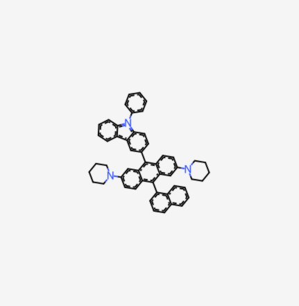 c1ccc(-n2c3ccccc3c3cc(-c4c5cc(N6CCCCC6)ccc5c(-c5cccc6ccccc56)c5cc(N6CCCCC6)ccc45)ccc32)cc1